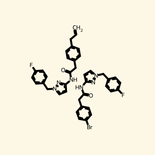 C=CCc1ccc(CC(=O)Nc2ccn(Cc3ccc(F)cc3)n2)cc1.O=C(Cc1ccc(Br)cc1)Nc1ccn(Cc2ccc(F)cc2)n1